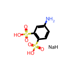 Nc1ccc(S(=O)(=O)O)c(S(=O)(=O)O)c1.[NaH]